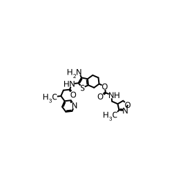 CC1=NOCC1CNC(=O)OC1CCc2c(sc(NC(=O)CC(C)c3cccnc3)c2N)C1